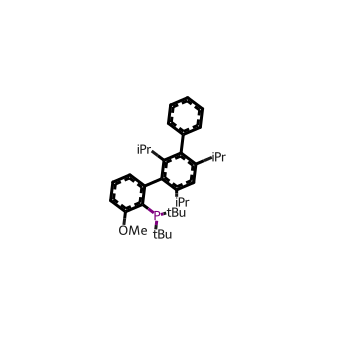 COc1cccc(-c2c(C(C)C)cc(C(C)C)c(-c3ccccc3)c2C(C)C)c1P(C(C)(C)C)C(C)(C)C